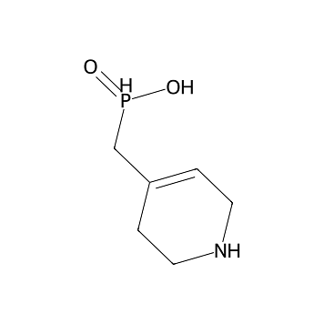 O=[PH](O)CC1=CCNCC1